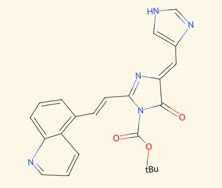 CC(C)(C)OC(=O)N1C(=O)/C(=C/c2c[nH]cn2)N=C1/C=C/c1cccc2ncccc12